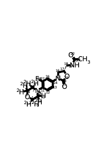 [2H]C1([2H])OC([2H])([2H])C([2H])([2H])N(c2ccc(N3C[C@H](CNC(C)=O)OC3=O)cc2F)C1([2H])[2H]